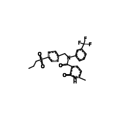 CCCS(=O)(=O)c1ccc(CN(C(=O)c2ccc(C)[nH]c2=O)c2cccc(C(F)(F)F)c2)cc1